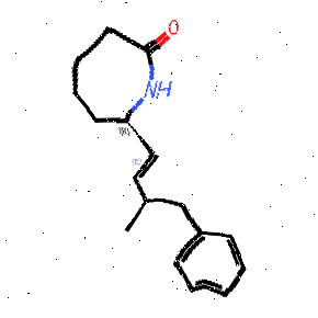 CC(/C=C/[C@H]1CCCCC(=O)N1)Cc1ccccc1